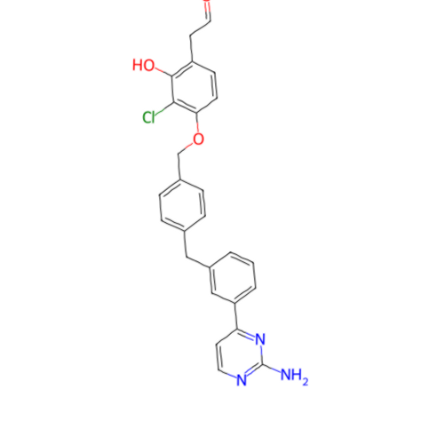 Nc1nccc(-c2cccc(Cc3ccc(COc4ccc(CC=O)c(O)c4Cl)cc3)c2)n1